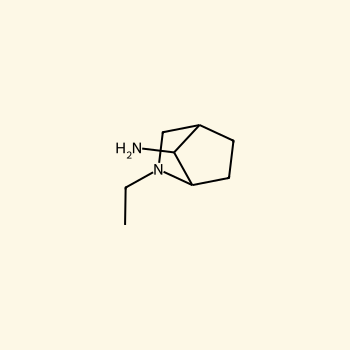 CCN1CC2CCC1C2N